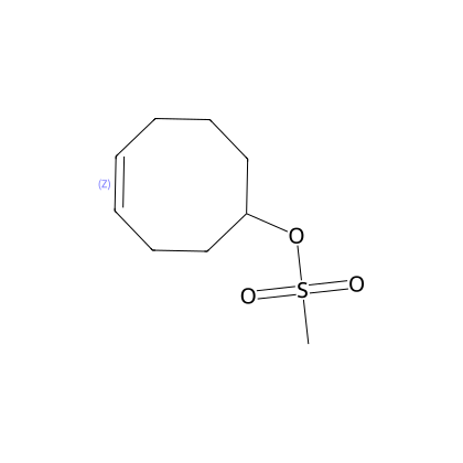 CS(=O)(=O)OC1CC/C=C\CCC1